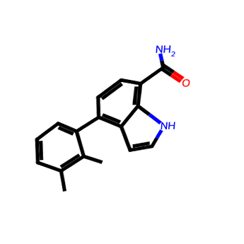 Cc1cccc(-c2ccc(C(N)=O)c3[nH]ccc23)c1C